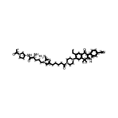 CCc1cc2c(cc1N1CCN(C(=O)CCCCc3cn(CCC[C@H](N)C(=O)N[C@@H]4CCN(C(C)=O)C4)c(N)n3)CC1)C(C)(C)c1[nH]c3cc(C#N)ccc3c1C2=O